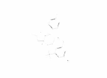 CN1C[C@H]2CC[C@H](O[C@H](CO)c3cc(C(F)(F)F)cc(C(F)(F)F)c3)[C@@H](c3ccc(F)cc3)[C@@H]2C1